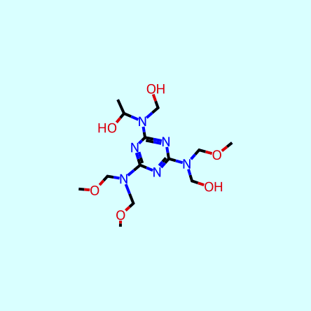 COCN(CO)c1nc(N(COC)COC)nc(N(CO)C(C)O)n1